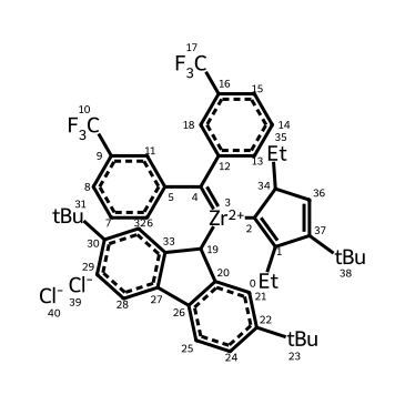 CCC1=[C]([Zr+2](=[C](c2cccc(C(F)(F)F)c2)c2cccc(C(F)(F)F)c2)[CH]2c3cc(C(C)(C)C)ccc3-c3ccc(C(C)(C)C)cc32)C(CC)C=C1C(C)(C)C.[Cl-].[Cl-]